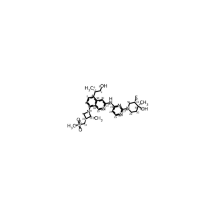 C[C@H](CO)c1ccc(N2C[C@H](CS(C)(=O)=O)[C@H]2C)c2cnc(Nc3ccnc(N4CC[C@](C)(O)[C@H](F)C4)n3)cc12